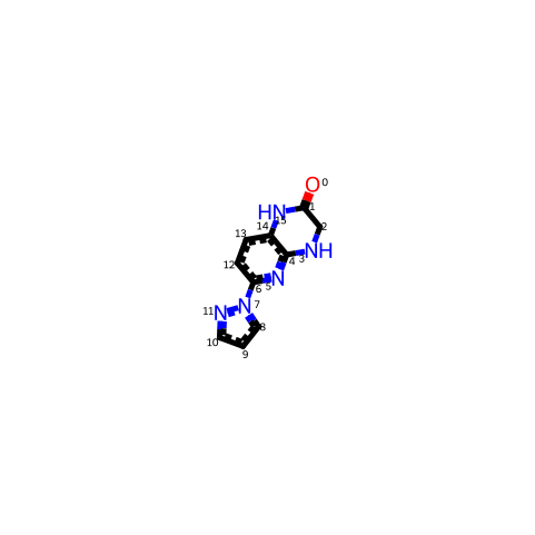 O=C1CNc2nc(-n3cccn3)ccc2N1